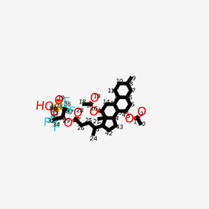 CC(=O)OC1CC2CC(C)CCC2C2CC(OC(C)=O)C3(C)C(C(C)CCC(=O)OC(C(F)(F)F)C(F)(F)S(=O)(=O)O)CCC3C12